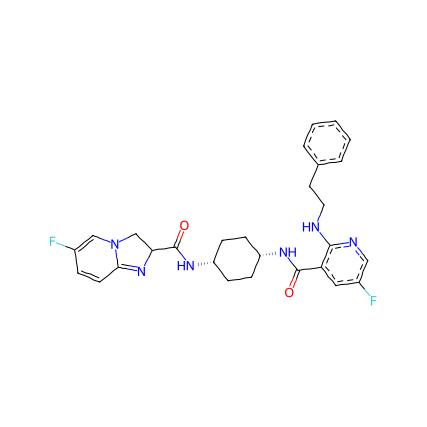 O=C(N[C@H]1CC[C@@H](NC(=O)C2CN3C=C(F)C=CC3=N2)CC1)c1cc(F)cnc1NCCc1ccccc1